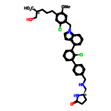 COc1cc(Cn2ccc3c(-c4cccc(-c5ccc(CNC[C@@H]6CCC(=O)N6)cc5)c4Cl)cccc32)c(Cl)cc1CCC[C@@H](CO)C(=O)O